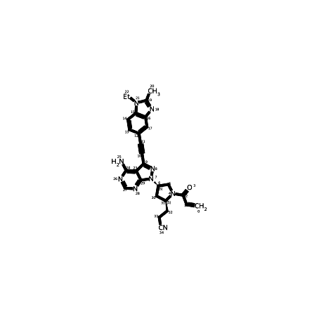 C=CC(=O)N1C[C@@H](n2nc(C#Cc3ccc4c(c3)nc(C)n4CC)c3c(N)ncnc32)C[C@@H]1CCC#N